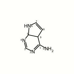 NC1=NC=NC2NC=CC12